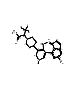 CN1C=C2C(=C(C3CCN(C(C(=O)O)C(C)(C)C)CC3)C1)NN=C1C=Cc3cc(F)cc2c31